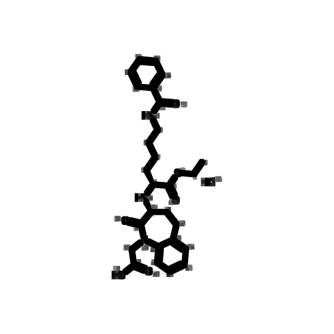 CCOC(=O)[C@H](CCCCNC(=O)c1ccccc1)N[C@H]1CCc2ccccc2N(CC(=O)O)C1=O.Cl